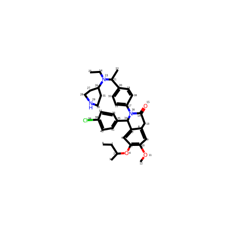 CCC(C)Oc1cc2c(cc1OC)CC(=O)N(c1ccc(C(C)N(CC)C3CCNCC3)cc1)C2c1ccc(Cl)cc1